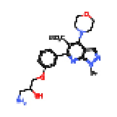 CCOC(=O)c1c(-c2cccc(OCC(O)CN)c2)nc2c(cnn2C(C)C)c1N1CCOCC1